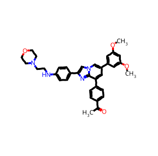 COc1cc(OC)cc(-c2cc(-c3ccc(C(C)=O)cc3)c3nc(-c4ccc(NCCN5CCOCC5)cc4)cn3c2)c1